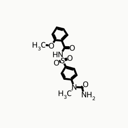 COc1ccccc1C(=O)NS(=O)(=O)c1ccc(N(C)C(N)=O)cc1